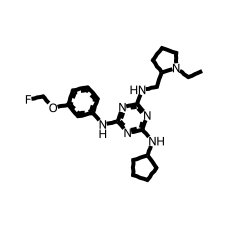 CCN1CCCC1CNc1nc(Nc2cccc(OCF)c2)nc(NC2CCCC2)n1